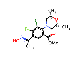 COC(=O)c1cc(/C(C)=N/O)c(F)c(Cl)c1N1C[C@@H](C)O[C@@H](C)C1